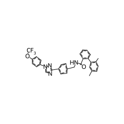 Cc1ccc(C)c(-c2ccccc2C(=O)NCc2ccc(-c3ncn(-c4ccc(OC(F)(F)F)cc4)n3)cc2)c1